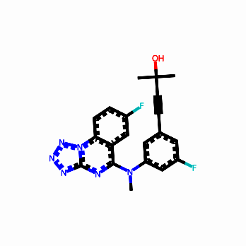 CN(c1cc(F)cc(C#CC(C)(C)O)c1)c1nc2nnnn2c2ccc(F)cc12